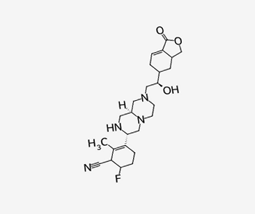 CC1=C([C@H]2CN3CCN(C[C@H](O)C4CC=C5C(=O)OCC5C4)C[C@@H]3CN2)CCC(F)C1C#N